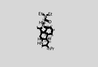 CCCC1CN[C@@H]2Cc3c(C)n(NC(=O)N(CC)CC)c4cccc(c34)[C@H]2C1